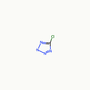 ClC1=N[N]N=N1